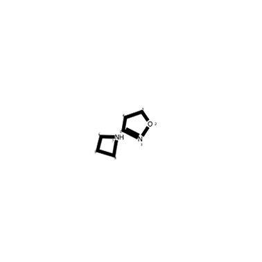 C1=NOCC1.C1CNC1